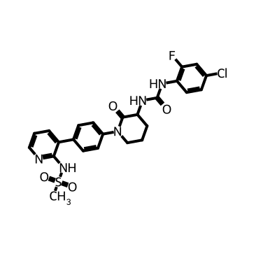 CS(=O)(=O)Nc1ncccc1-c1ccc(N2CCCC(NC(=O)Nc3ccc(Cl)cc3F)C2=O)cc1